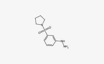 NNc1cccc(S(=O)(=O)N2CCCC2)c1